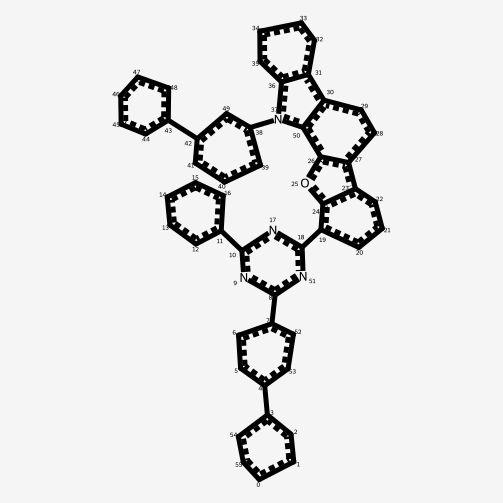 c1ccc(-c2ccc(-c3nc(-c4ccccc4)nc(-c4cccc5c4oc4c5ccc5c6ccccc6n(-c6cccc(-c7ccccc7)c6)c54)n3)cc2)cc1